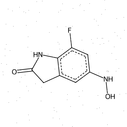 O=C1Cc2cc(NO)cc(F)c2N1